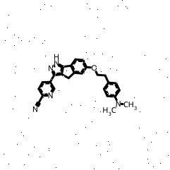 CN(C)c1ccc(CCOc2ccc3c(c2)Cc2c(-c4ccc(C#N)nc4)n[nH]c2-3)cc1